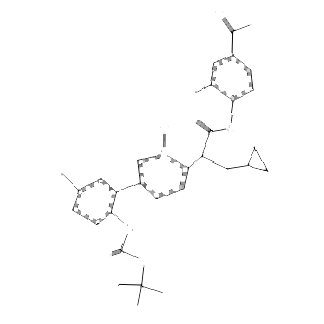 CC(C)(C)OC(=O)Nc1ccc(Cl)cc1-c1ccc(C(CC2CC2)C(=O)Nc2ccc(C(=O)O)cc2Cl)[n+]([O-])c1